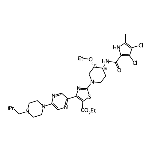 CCOC(=O)c1sc(N2CC[C@@H](NC(=O)c3[nH]c(C)c(Cl)c3Cl)[C@@H](OCC)C2)nc1-c1cnc(N2CCN(CC(C)C)CC2)cn1